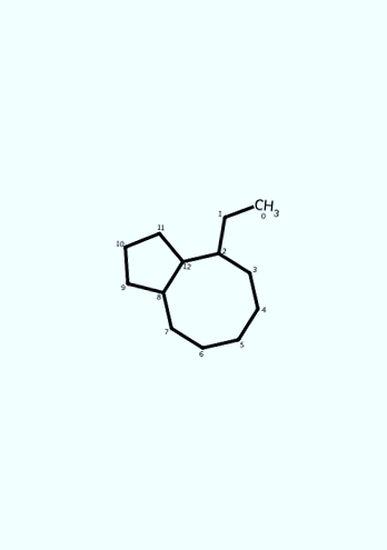 CCC1CCCCCC2CCC[C]12